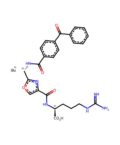 CC[C@H](C)[C@H](NC(=O)c1ccc(C(=O)c2ccccc2)cc1)c1nc(C(=O)N[C@@H](CCCNC(=N)N)C(=O)O)co1